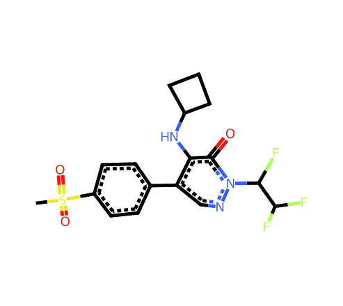 CS(=O)(=O)c1ccc(-c2cnn(C(F)C(F)F)c(=O)c2NC2CCC2)cc1